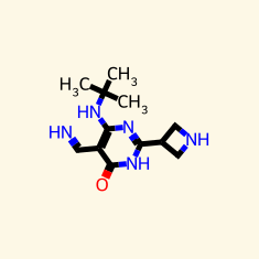 CC(C)(C)Nc1nc(C2CNC2)[nH]c(=O)c1C=N